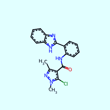 Cc1nn(C)c(Cl)c1C(=O)Nc1ccccc1-c1nc2ccccc2[nH]1